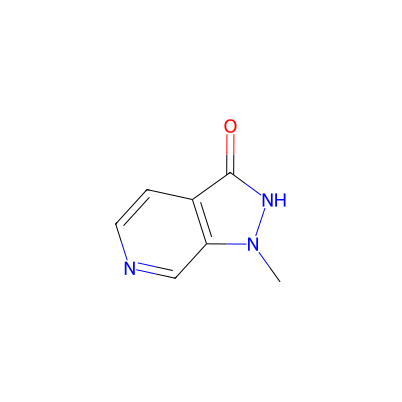 Cn1[nH]c(=O)c2ccncc21